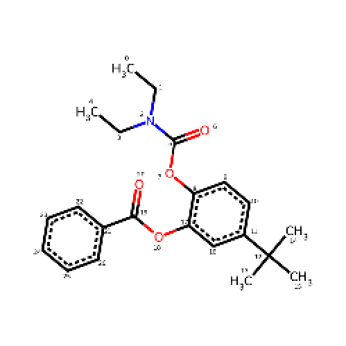 CCN(CC)C(=O)Oc1ccc(C(C)(C)C)cc1OC(=O)c1ccccc1